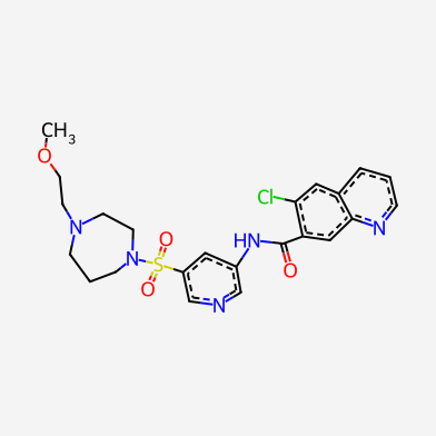 COCCN1CCCN(S(=O)(=O)c2cncc(NC(=O)c3cc4ncccc4cc3Cl)c2)CC1